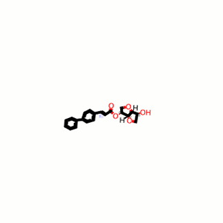 O=C(/C=C/c1ccc(-c2ccccc2)cc1)O[C@@H]1CO[C@H]2[C@@H]1OC[C@@H]2O